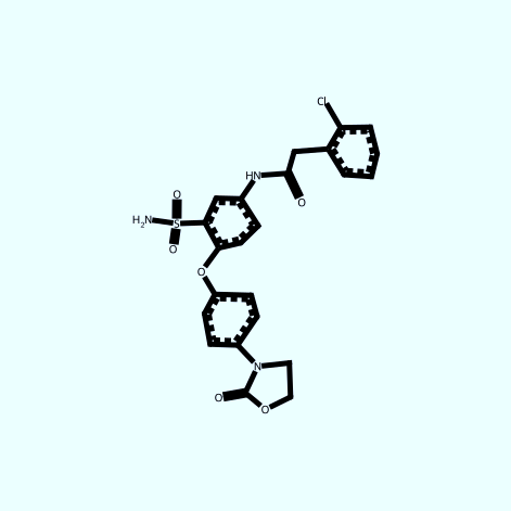 NS(=O)(=O)c1cc(NC(=O)Cc2ccccc2Cl)ccc1Oc1ccc(N2CCOC2=O)cc1